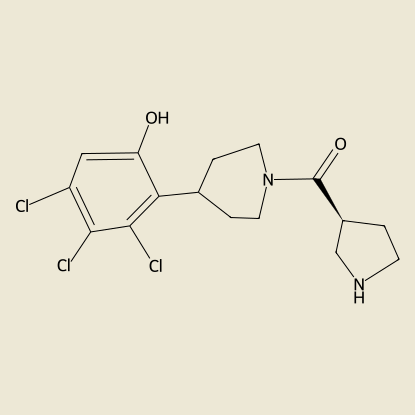 O=C([C@H]1CCNC1)N1CCC(c2c(O)cc(Cl)c(Cl)c2Cl)CC1